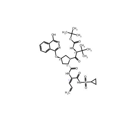 C=C/C=C(/NC(=O)[C@@H]1C[C@@H](Oc2nnc(O)c3ccccc23)CN1C(=O)[C@@H](NC(=O)OC(C)(C)C)C(C)(C)C)C(=O)NS(=O)(=O)C1CC1